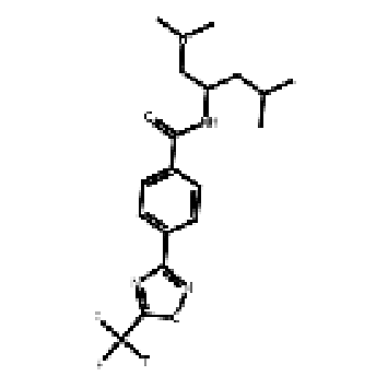 CC(C)CC(CN(C)C)NC(=O)c1ccc(-c2noc(C(F)(F)F)n2)cc1